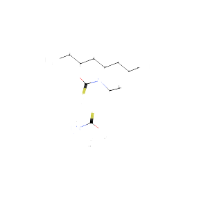 CCCCCCCC.CCNC(O)=S.NC(O)=S.[Sb]